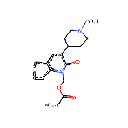 CCCCCC(=O)OCn1c(=O)c(C2CCN(C(=O)O)CC2)cc2ccccc21